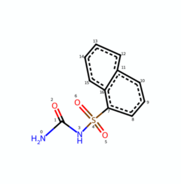 NC(=O)NS(=O)(=O)c1cccc2ccccc12